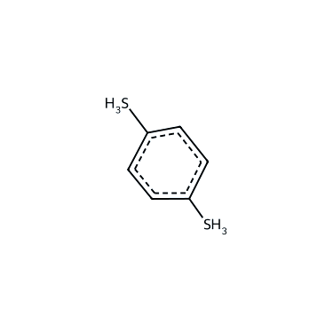 [SH3]c1ccc([SH3])cc1